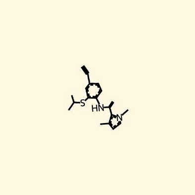 C#Cc1ccc(NC(=C)c2c(C)ccn2C)c(SC(C)C)c1